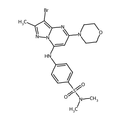 Cc1nn2c(Nc3ccc(S(=O)(=O)N(C)C)cc3)cc(N3CCOCC3)nc2c1Br